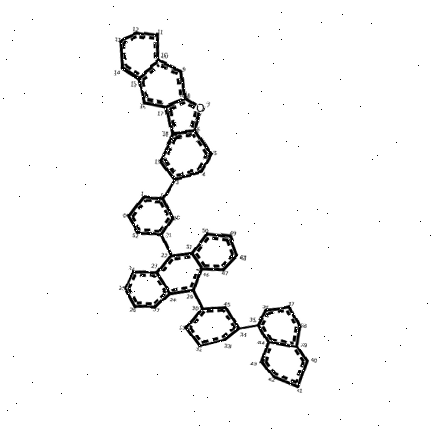 c1cc(-c2ccc3oc4cc5ccccc5cc4c3c2)cc(-c2c3ccccc3c(-c3cccc(-c4cccc5ccccc45)c3)c3ccccc23)c1